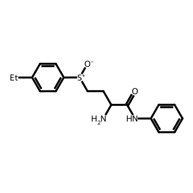 CCc1ccc([S+]([O-])CCC(N)C(=O)Nc2ccccc2)cc1